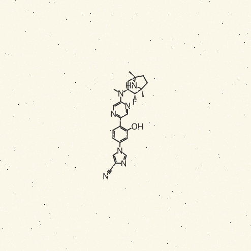 CN(c1cnc(-c2ccc(-n3cnc(C#N)c3)cc2O)cn1)[C@H]1C[C@]2(C)CC[C@@](C)(N2)[C@H]1F